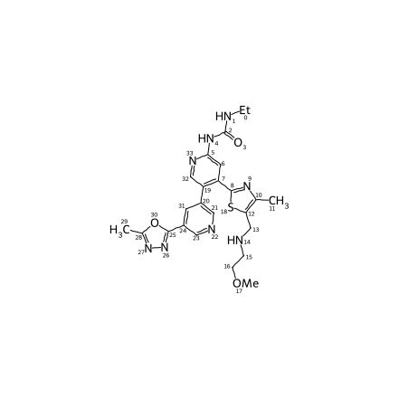 CCNC(=O)Nc1cc(-c2nc(C)c(CNCCOC)s2)c(-c2cncc(-c3nnc(C)o3)c2)cn1